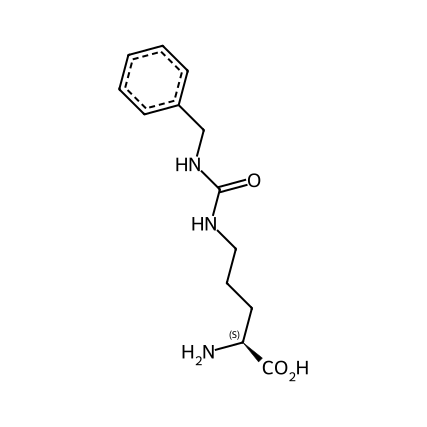 N[C@@H](CCCNC(=O)NCc1ccccc1)C(=O)O